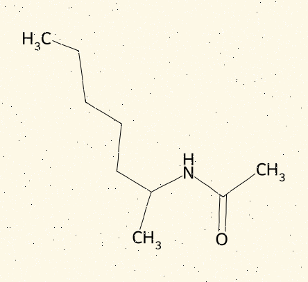 CCCCCC(C)NC(C)=O